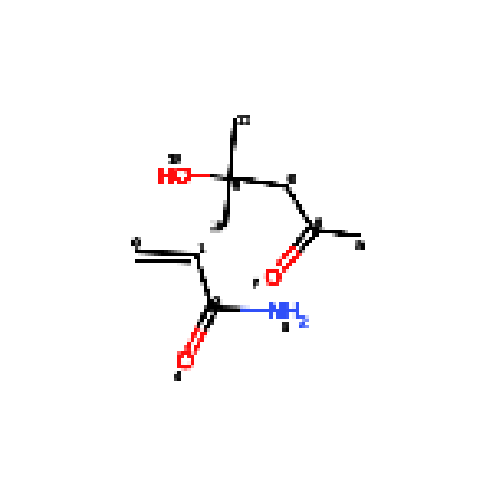 C=CC(N)=O.CC(=O)CC(C)(C)O